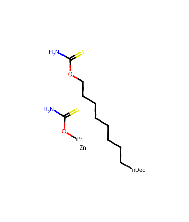 CC(C)OC(N)=S.CCCCCCCCCCCCCCCCCCOC(N)=S.[Zn]